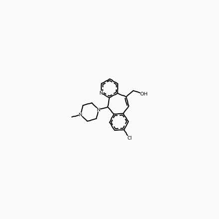 CN1CCN(C2c3ccc(Cl)cc3C=C(CO)c3cccnc32)CC1